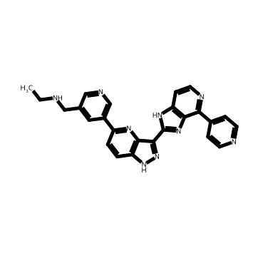 CCNCc1cncc(-c2ccc3[nH]nc(-c4nc5c(-c6ccncc6)nccc5[nH]4)c3n2)c1